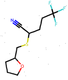 N#CC(CCC(F)(F)F)SCC1CCCO1